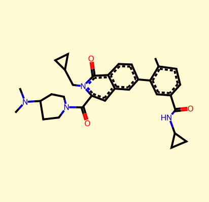 Cc1ccc(C(=O)NC2CC2)cc1-c1ccc2c(=O)n(CC3CC3)c(C(=O)N3CCC(N(C)C)CC3)cc2c1